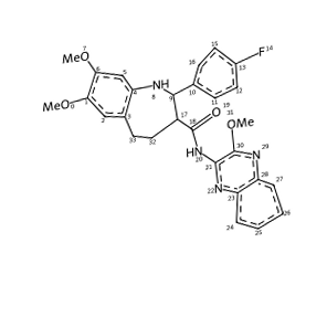 COc1cc2c(cc1OC)NC(c1ccc(F)cc1)C(C(=O)Nc1nc3ccccc3nc1OC)CC2